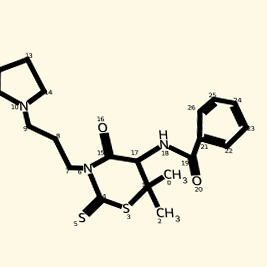 CC1(C)SC(=S)N(CCCN2CCCC2)C(=O)C1NC(=O)c1ccccc1